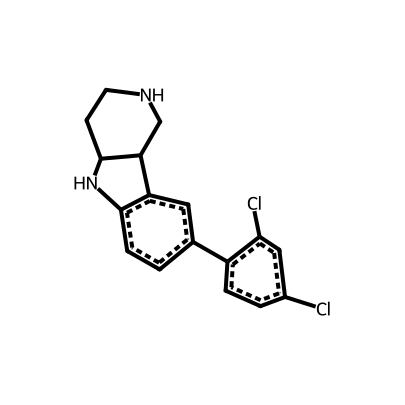 Clc1ccc(-c2ccc3c(c2)C2CNCCC2N3)c(Cl)c1